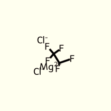 FC(F)C(F)(F)F.[Cl-].[Cl-].[Mg+2]